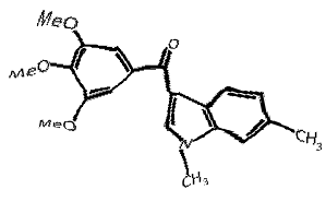 COc1cc(C(=O)c2cn(C)c3cc(C)ccc23)cc(OC)c1OC